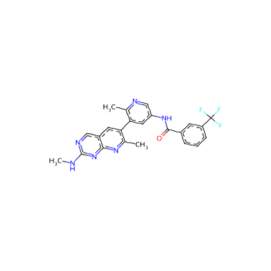 CNc1ncc2cc(-c3cc(NC(=O)c4cccc(C(F)(F)F)c4)cnc3C)c(C)nc2n1